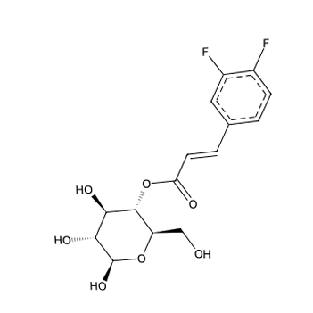 O=C(/C=C/c1ccc(F)c(F)c1)O[C@H]1[C@H](O)[C@@H](O)[C@H](O)O[C@@H]1CO